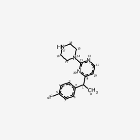 CC(c1ccc(F)cc1)c1ccnc(N2CCNCC2)n1